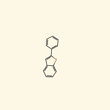 c1ccc(-c2cc3ccccc3s2)cc1